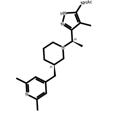 CC(=O)Nc1[nH]nc([C@@H](C)N2CCC[C@H](Cc3cc(C)nc(C)c3)C2)c1C